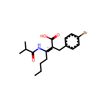 CCCC/C(NC(=O)C(C)C)=C(\Cc1ccc(Br)cc1)C(=O)O